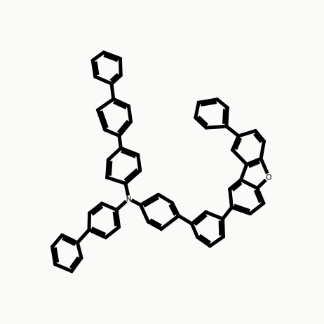 c1ccc(-c2ccc(-c3ccc(N(c4ccc(-c5ccccc5)cc4)c4ccc(-c5cccc(-c6ccc7oc8ccc(-c9ccccc9)cc8c7c6)c5)cc4)cc3)cc2)cc1